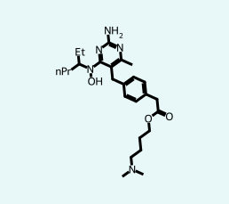 CCCC(CC)N(O)c1nc(N)nc(C)c1Cc1ccc(CC(=O)OCCCCN(C)C)cc1